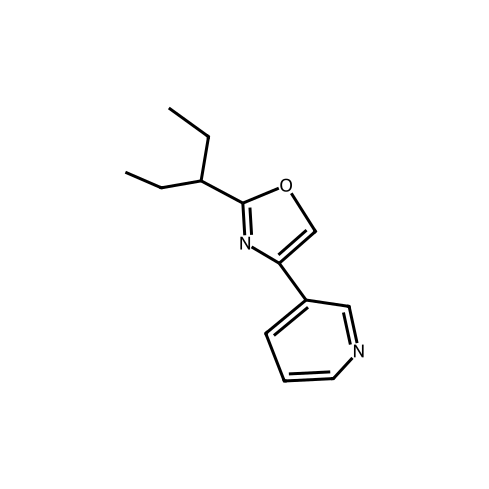 CCC(CC)c1nc(-c2cccnc2)co1